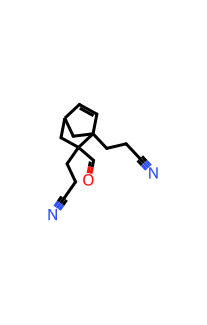 N#CCCC1(C=O)CC2C=CC1(CCC#N)C2